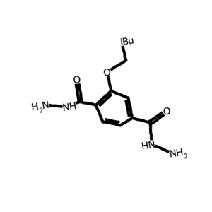 CCC(C)COc1cc(C(=O)NN)ccc1C(=O)NN